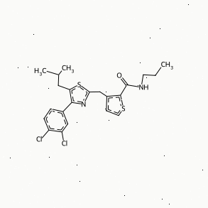 CCCNC(=O)c1sccc1Cc1nc(-c2ccc(Cl)c(Cl)c2)c(CC(C)C)s1